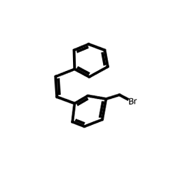 BrCc1cccc(/C=C\c2ccccc2)c1